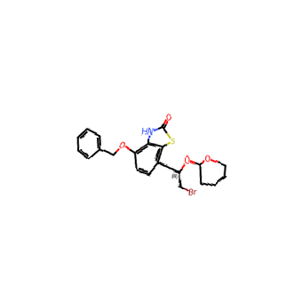 O=c1[nH]c2c(OCc3ccccc3)ccc([C@H](CBr)OC3CCCCO3)c2s1